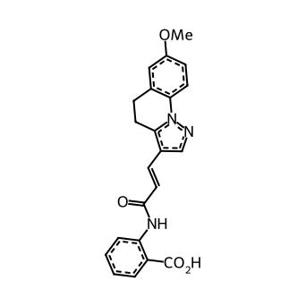 COc1ccc2c(c1)CCc1c(/C=C/C(=O)Nc3ccccc3C(=O)O)cnn1-2